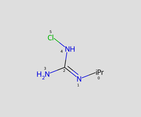 CC(C)N=C(N)NCl